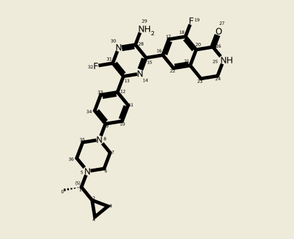 C[C@@H](C1CC1)N1CCN(c2ccc(-c3nc(-c4cc(F)c5c(c4)CCNC5=O)c(N)nc3F)cc2)CC1